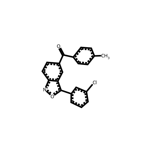 Cc1ccc(C(=O)c2ccc3noc(-c4cccc(Cl)c4)c3c2)cc1